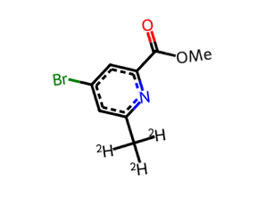 [2H]C([2H])([2H])c1cc(Br)cc(C(=O)OC)n1